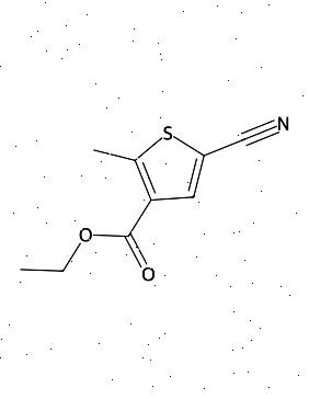 CCOC(=O)c1cc(C#N)sc1C